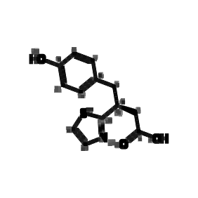 O=C(O)C[C@H](Cc1ccc(O)cc1)c1nccs1